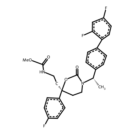 COC(=O)NCC[C@@]1(c2ccc(F)cc2)CCN([C@@H](C)c2ccc(-c3ccc(F)cc3F)cc2)C(=O)O1